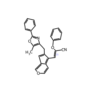 Cc1oc(-c2ccccc2)nc1Cc1cc2coccc-2c1/C=C(/C#N)Oc1ccccc1